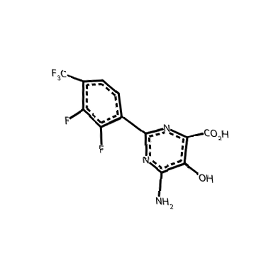 Nc1nc(-c2ccc(C(F)(F)F)c(F)c2F)nc(C(=O)O)c1O